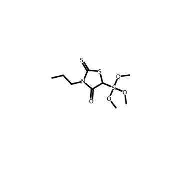 CCCN1C(=O)C([Si](OC)(OC)OC)SC1=S